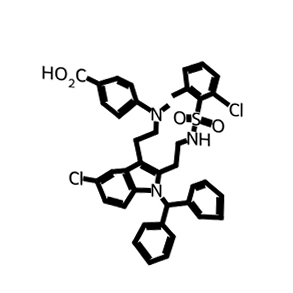 Cc1cccc(Cl)c1S(=O)(=O)NCCc1c(CCN(C)c2ccc(C(=O)O)cc2)c2cc(Cl)ccc2n1C(c1ccccc1)c1ccccc1